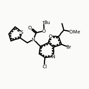 COC(C)c1oc2c(N(Cc3cccs3)C(=O)OC(C)(C)C)cc(Cl)nc2c1Br